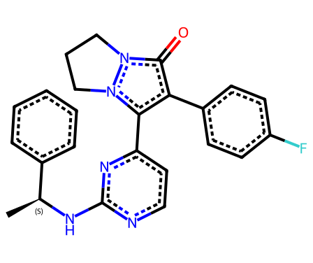 C[C@H](Nc1nccc(-c2c(-c3ccc(F)cc3)c(=O)n3n2CCC3)n1)c1ccccc1